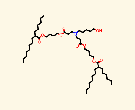 CCCCCCCCC(CCCCCC)C(=O)OCCCCOC(=O)CCN(CCCCCO)CCC(=O)OCCCCOC(=O)C(CCCCCC)CCCCCCCC